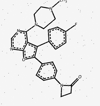 CN1CCN(c2ncnc3oc(-c4ccc(N5CCC5=O)cc4)c(-c4ccc(F)cc4)c23)CC1